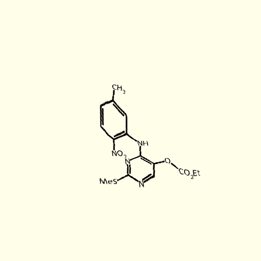 CCOC(=O)Oc1cnc(SC)nc1Nc1cc(C)ccc1[N+](=O)[O-]